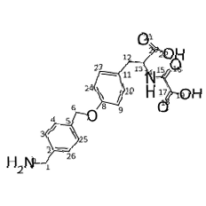 NCc1ccc(COc2ccc(C[C@H](NC(=O)C(=O)O)C(=O)O)cc2)cc1